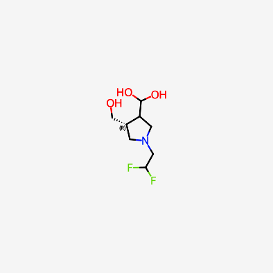 OC[C@H]1CN(CC(F)F)CC1C(O)O